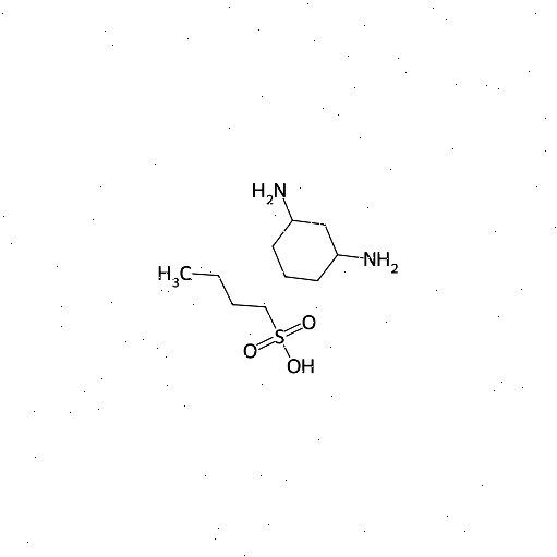 CCCCS(=O)(=O)O.NC1CCCC(N)C1